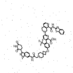 Cn1nc(C2CCC(=O)NC2=O)c2ccc(NC(=O)CN3CCC4(CC3)CC(Oc3ccc(-c5ccc(N6CCc7ccnc(C(=O)Nc8nc9ccccc9s8)c7C6)nc5C(=O)O)c(C(F)(F)F)c3)C4)cc21